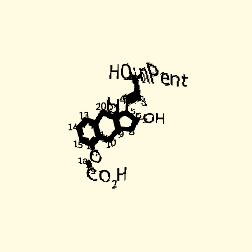 CCCCC[C@H](O)/C=C/[C@H]1[C@H](O)CC2Cc3c(cccc3OCC(=O)O)C[C@@H]21